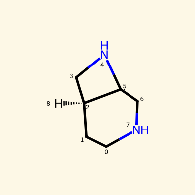 C1C[C@H]2CN[C]2CN1